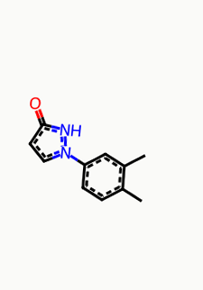 Cc1ccc(-n2ccc(=O)[nH]2)cc1C